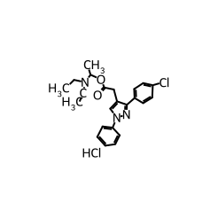 CCN(CC)C(C)OC(=O)Cc1cn(-c2ccccc2)nc1-c1ccc(Cl)cc1.Cl